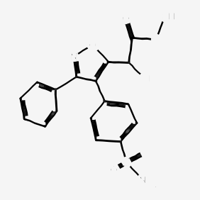 COC(=O)C(C)c1onc(-c2ccccc2)c1-c1ccc(S(N)(=O)=O)cc1